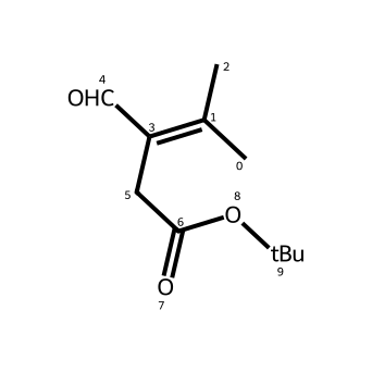 CC(C)=C(C=O)CC(=O)OC(C)(C)C